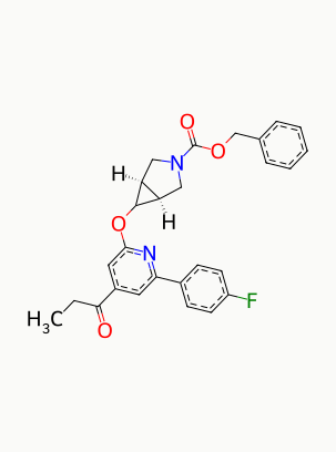 CCC(=O)c1cc(OC2[C@H]3CN(C(=O)OCc4ccccc4)C[C@@H]23)nc(-c2ccc(F)cc2)c1